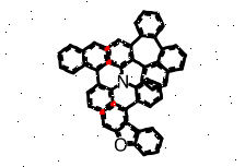 c1ccc2c(c1)-c1cccc(N(c3ccccc3-c3cccc4ccccc34)c3ccccc3-c3cccc4oc5ccccc5c34)c1-c1cccc3cccc-2c13